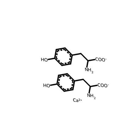 NC(Cc1ccc(O)cc1)C(=O)[O-].NC(Cc1ccc(O)cc1)C(=O)[O-].[Ca+2]